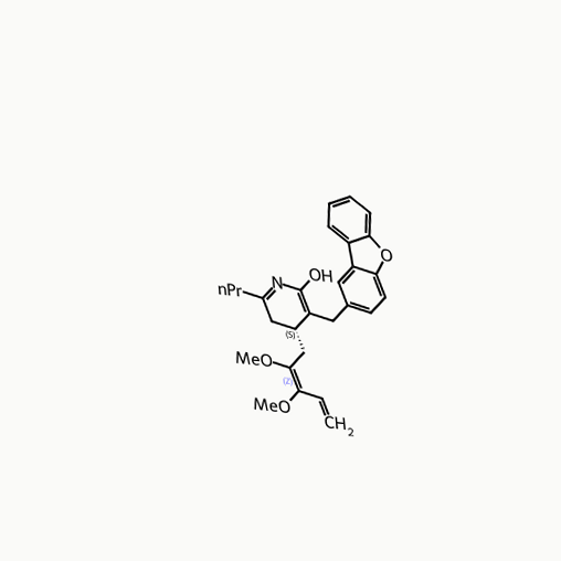 C=C/C(OC)=C(\C[C@@H]1CC(CCC)=NC(O)=C1Cc1ccc2oc3ccccc3c2c1)OC